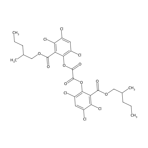 CCCC(C)COC(=O)c1c(Cl)c(Cl)cc(Cl)c1OC(=O)C(=O)Oc1c(Cl)cc(Cl)c(Cl)c1C(=O)OCC(C)CCC